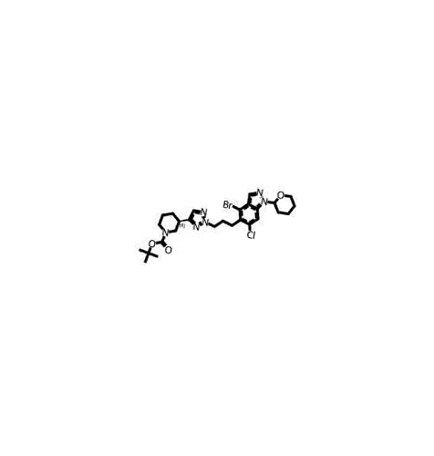 CC(C)(C)OC(=O)N1CCC[C@@H](c2cnn(CCCc3c(Cl)cc4c(cnn4C4CCCCO4)c3Br)n2)C1